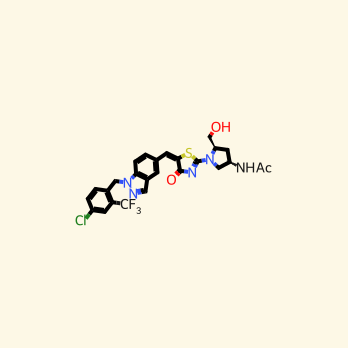 CC(=O)N[C@@H]1C[C@H](CO)N(C2=NC(=O)C(=Cc3ccc4c(cnn4Cc4ccc(Cl)cc4C(F)(F)F)c3)S2)C1